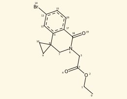 CCOC(=O)CN1CC2(CC2)c2cc(Br)ccc2C1=O